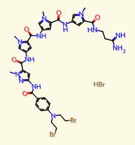 Br.Cn1cc(NC(=O)c2cc(NC(=O)c3cc(NC(=O)c4cc(NC(=O)c5ccc(N(CCBr)CCBr)cc5)nn4C)cn3C)cn2C)cc1C(=O)NCCC(=N)N